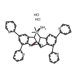 CCC1=Cc2c(-c3ccccn3)cc(-c3ccccn3)cc2[CH]1[Zr]([CH3])([CH3])(=[SiH2])[CH]1C(CC)=Cc2c(-c3ccccn3)cc(-c3ccccn3)cc21.Cl.Cl